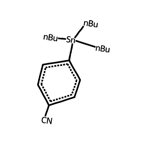 CCC[CH2][Sn]([CH2]CCC)([CH2]CCC)[c]1ccc(C#N)cc1